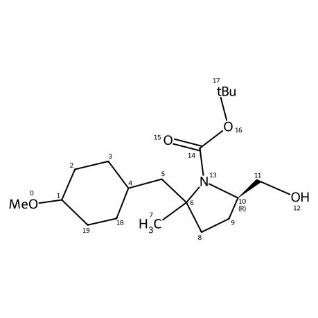 COC1CCC(CC2(C)CC[C@H](CO)N2C(=O)OC(C)(C)C)CC1